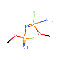 COP(=N)(F)N=P(N)(F)OC